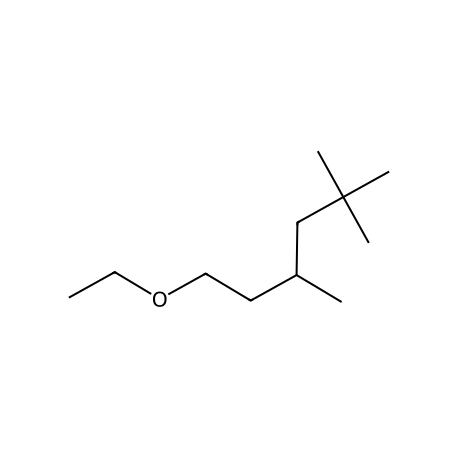 CCOCCC(C)CC(C)(C)C